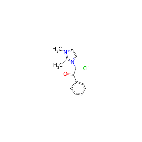 Cc1n(CC(=O)c2ccccc2)cc[n+]1C.[Cl-]